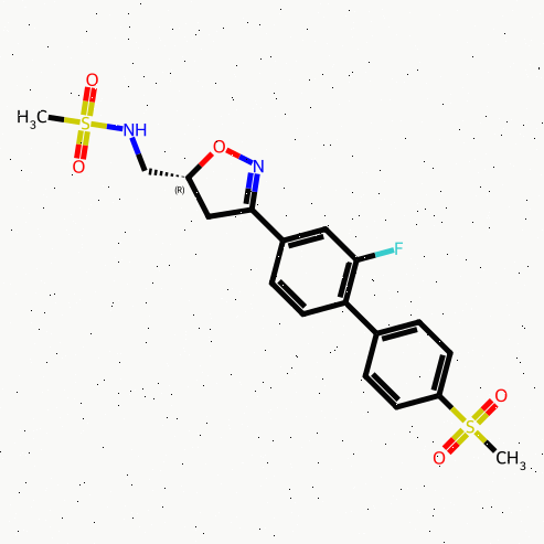 CS(=O)(=O)NC[C@H]1CC(c2ccc(-c3ccc(S(C)(=O)=O)cc3)c(F)c2)=NO1